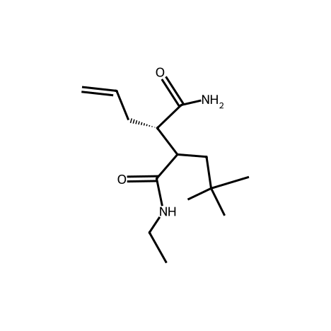 C=CC[C@H](C(N)=O)C(CC(C)(C)C)C(=O)NCC